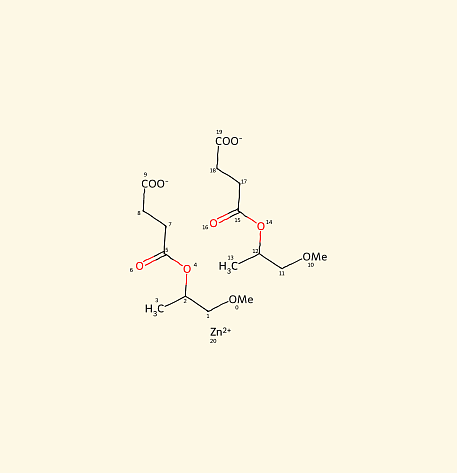 COCC(C)OC(=O)CCC(=O)[O-].COCC(C)OC(=O)CCC(=O)[O-].[Zn+2]